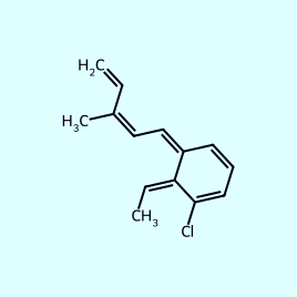 C=C\C(C)=C/C=c1/cccc(Cl)/c1=C\C